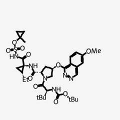 CC[C@@H]1C[C@]1(NC(=O)[C@@H]1C[C@@H](Oc2nncc3cc(OC)ccc23)CN1C(=O)[C@@H](NC(=O)OC(C)(C)C)C(C)(C)C)C(=O)NS(=O)(=O)OC1(C)CC1